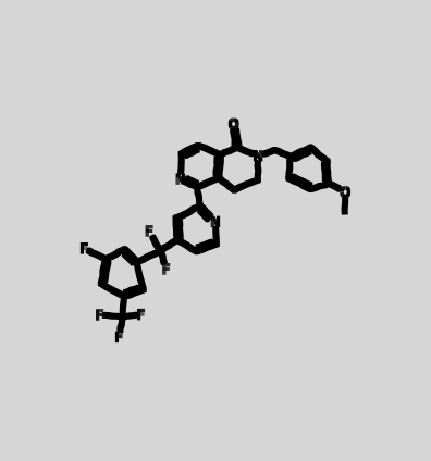 COc1ccc(CN2CCc3c(ccnc3-c3cc(C(F)(F)c4cc(F)cc(C(F)(F)F)c4)ccn3)C2=O)cc1